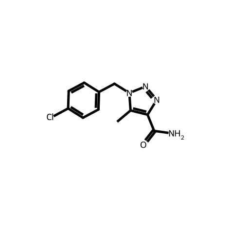 Cc1c(C(N)=O)nnn1Cc1ccc(Cl)cc1